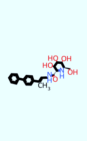 C/C(=C\CNC(=O)[C@H]1N[C@H](CO)[C@@H](O)[C@H](O)[C@@H]1O)c1ccc(-c2ccccc2)cc1